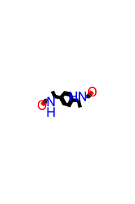 CC(NC=O)c1ccc(C(C)NC=O)cc1